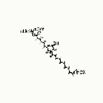 CCCCCC/C=C\CCCCCCCCN(CCO)CCCCCCCC(=O)OC(CCCCCCCC)CCCCCCCC